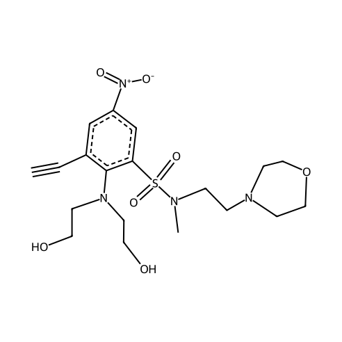 C#Cc1cc([N+](=O)[O-])cc(S(=O)(=O)N(C)CCN2CCOCC2)c1N(CCO)CCO